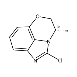 C[C@H]1COc2cccc3nc(Cl)n1c23